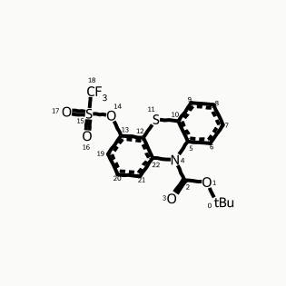 CC(C)(C)OC(=O)N1c2ccccc2Sc2c(OS(=O)(=O)C(F)(F)F)cccc21